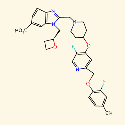 N#Cc1ccc(OCc2cc(OC3CCN(Cc4nc5ccc(C(=O)O)cc5n4C[C@@H]4CCO4)CC3)c(F)cn2)c(F)c1